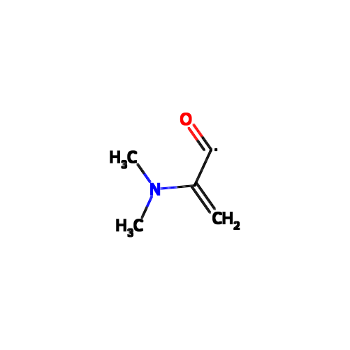 C=C([C]=O)N(C)C